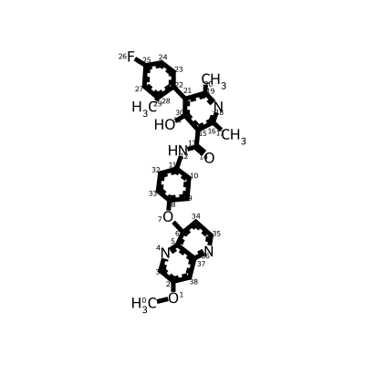 COc1cnc2c(Oc3ccc(NC(=O)c4c(C)nc(C)c(-c5ccc(F)cc5C)c4O)cc3)ccnc2c1